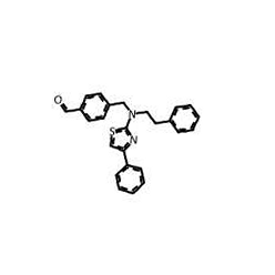 O=Cc1ccc(CN(CCc2ccccc2)c2nc(-c3ccccc3)cs2)cc1